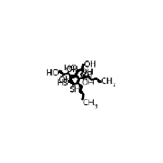 CCCCCc1c(S)c(S)c(C(O)C(O)CO)c(C(O)C(O)CO)c1C(O)(O)CCCCC